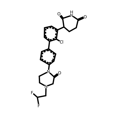 O=C1CCC(c2cccc(-c3ccc(N4CCN(CC(F)F)CC4=O)cc3)c2Cl)C(=O)N1